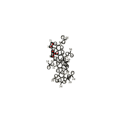 CCS[C@]1([C@@]2(OC(C)=O)O[C@H](COC(C)=O)[C@H](O[C@@H]3O[C@H](COC(C)=O)[C@H](OC(C)=O)[C@H](OC(C)=O)[C@H]3OC(C)=O)[C@H](OC(C)=O)[C@H]2OC(C)=O)O[C@H](COC(C)=O)[C@H](O[C@@H]2O[C@H](COC(C)=O)[C@H](OC(C)=O)[C@H](OC(C)=O)[C@H]2OC(C)=O)[C@H](OC(C)=O)[C@H]1OC(C)=O